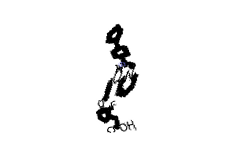 O=C(O)Cc1cccc(OCCO/N=C(\CN2CCCCC2)c2ccc(-c3ccccc3)cc2)c1F